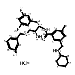 Cc1cc(CNC2CCCCC2)cc(C(=O)N[C@@H](Cc2cc(F)cc(F)c2)[C@@H](O)CNCc2cccc(I)c2)c1.Cl